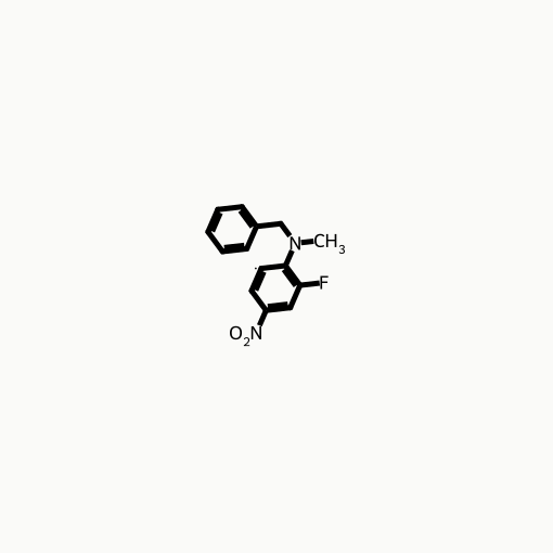 CN(Cc1ccccc1)c1[c]cc([N+](=O)[O-])cc1F